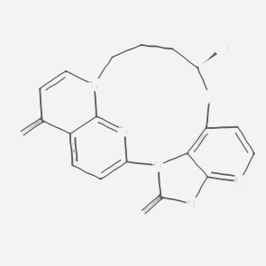 C[C@@H]1CCCn2ccc(=O)c3ccc(nc32)-n2c(=O)[nH]c3nccc(c32)O1